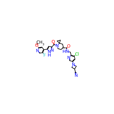 COc1cc(-c2cc(C(=O)N3CC[C@H](C(=O)NCc4ncc(N5CC(C#N)C5)cc4Cl)CC34CC4)n[nH]2)c(F)cn1